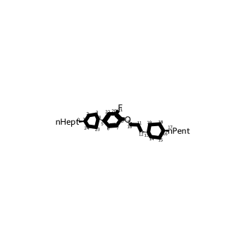 CCCCCCC[C@H]1CC[C@H](c2ccc(OCCC[C@H]3CC[C@H](CCCCC)CC3)c(F)c2)CC1